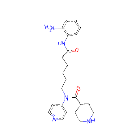 Nc1ccccc1NC(=O)CCCCCN(C(=O)C1CCNCC1)c1ccncc1